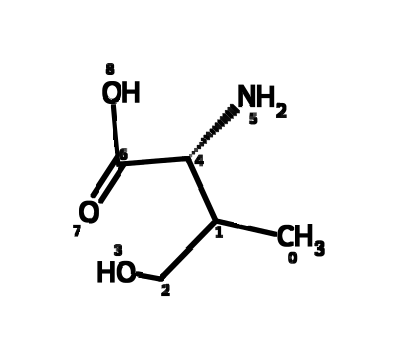 CC(CO)[C@@H](N)C(=O)O